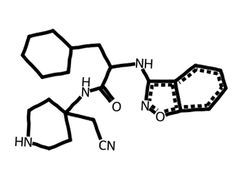 N#CCC1(NC(=O)C(CC2CCCCC2)Nc2noc3ccccc23)CCNCC1